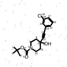 CC(C)(C)OC(=O)N1CCC(O)(C#Cc2cccc(Cl)c2)CC1